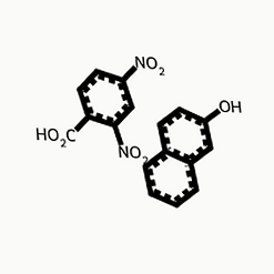 O=C(O)c1ccc([N+](=O)[O-])cc1[N+](=O)[O-].Oc1ccc2ccccc2c1